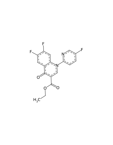 CCOC(=O)c1cn(-c2ccc(F)cn2)c2cc(F)c(F)cc2c1=O